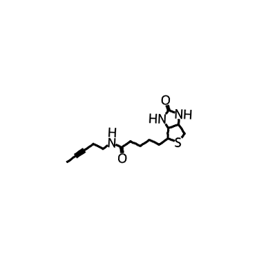 CC#CCCNC(=O)CCCCC1SCC2NC(=O)NC21